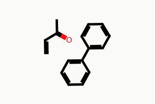 C=CC(C)=O.c1ccc(-c2ccccc2)cc1